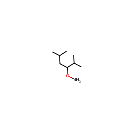 BOC(CC(C)C)C(C)C